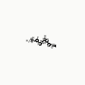 CS(=O)(=O)NCc1cc(F)cc(-c2nccc3[nH]c(-c4n[nH]c5ncc(-c6cncc(NC(=O)C7CC7)c6)cc45)nc23)c1